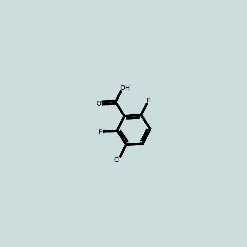 O=C(O)c1c(F)ccc(Cl)c1F